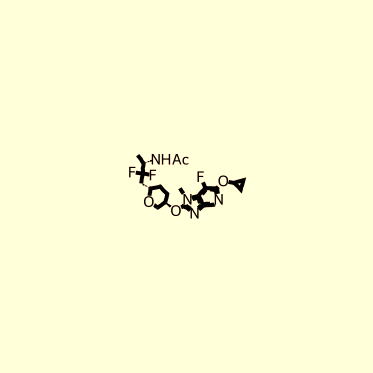 CC(=O)N[C@@H](C)C(F)(F)C[C@@H]1CC[C@@H](Oc2nc3cnc(OC4CC4)c(F)c3n2C)CO1